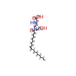 CCCCCCCC/C=C\CCCCCCCC(=O)N(CCO)CCNCC(=O)O